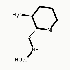 C[C@H]1CCCN[C@@H]1CNC(=O)O